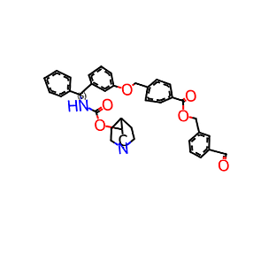 O=Cc1cccc(COC(=O)c2ccc(COc3cccc([C@@H](NC(=O)OC4CN5CCC4CC5)c4ccccc4)c3)cc2)c1